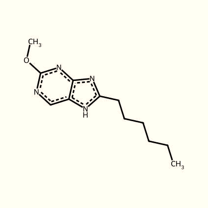 CCCCCCc1nc2nc(OC)ncc2[nH]1